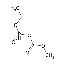 CCO[PH](=O)OC(=O)OC